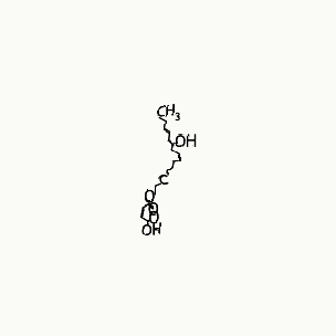 CCCCCC[C@@H](O)C/C=C\CCCCCCCCOC(=O)/C=C\C(=O)O